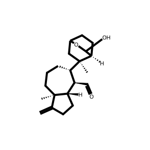 C=C1CC[C@H]2[C@H](C=O)[C@@H]([C@@]3(C)CC4CC[C@@H]3C(O)O4)CCC[C@]12C